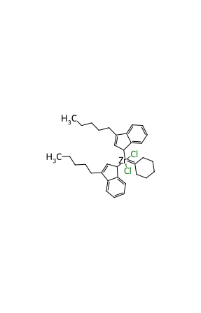 CCCCCC1=C[CH]([Zr]([Cl])([Cl])(=[C]2CCCCC2)[CH]2C=C(CCCCC)c3ccccc32)c2ccccc21